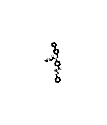 CCNCC(=O)N(Cc1ccc(C2CCCC2)cc1)c1ccc(C(=O)NOCc2ccccc2)cc1